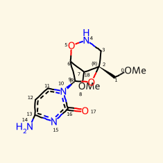 COC[C@]12CNOC(C1OC)[C@H](n1ccc(N)nc1=O)O2